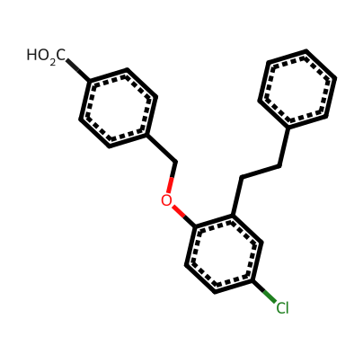 O=C(O)c1ccc(COc2ccc(Cl)cc2CCc2ccccc2)cc1